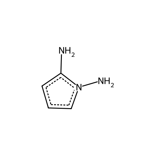 Nc1cccn1N